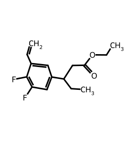 C=Cc1cc(C(CC)CC(=O)OCC)cc(F)c1F